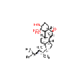 CC(C)[C@@H](C)/C=C/[C@@H](C)[C@H]1CC[C@H]2C3=CC(=O)[C@H]4CCC(O)C(O)(O)[C@]4(C)[C@H]3CC[C@]12C